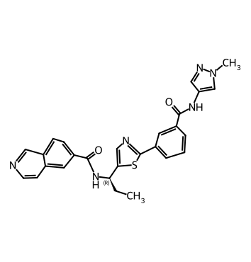 CC[C@@H](NC(=O)c1ccc2cnccc2c1)c1cnc(-c2cccc(C(=O)Nc3cnn(C)c3)c2)s1